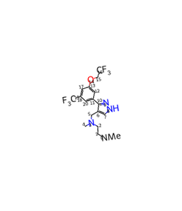 CNCCN(C)Cc1c[nH]nc1-c1cc(OCC(F)(F)F)cc(C(F)(F)F)c1